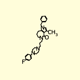 Cc1cn(Cc2ccccc2)c2c1C(=O)N(CCCN1CCN(c3ccc(F)cc3)CC1)CCC2